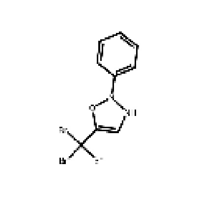 BrC(Br)(Br)C1=CNN(c2ccccc2)O1